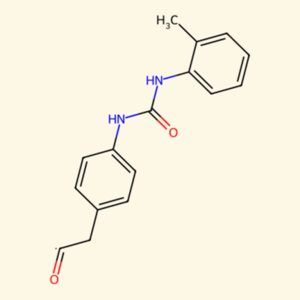 Cc1ccccc1NC(=O)Nc1ccc(C[C]=O)cc1